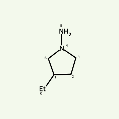 CCC1CCN(N)C1